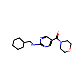 O=C(c1cnc(NCC2CCCCC2)nc1)N1CCOCC1